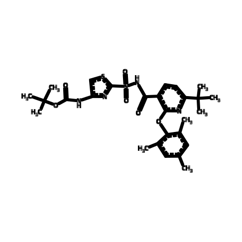 Cc1cc(C)c(Oc2nc(C(C)(C)C)ccc2C(=O)NS(=O)(=O)c2nc(NC(=O)OC(C)(C)C)cs2)c(C)c1